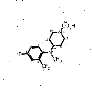 CN(c1ccc(F)cc1C(F)(F)F)C1CCN(C(=O)O)CC1